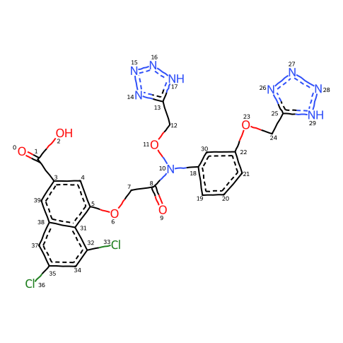 O=C(O)c1cc(OCC(=O)N(OCc2nnn[nH]2)c2cccc(OCc3nnn[nH]3)c2)c2c(Cl)cc(Cl)cc2c1